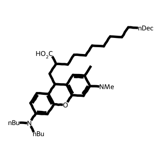 CCCCCCCCCCCCCCCCCCC(CC1c2ccc(N(CCCC)CCCC)cc2Oc2cc(NC)c(C)cc21)C(=O)O